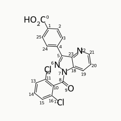 O=C(O)c1ccc(-c2nn(C(=O)c3c(Cl)cccc3Cl)c3cccnc23)cc1